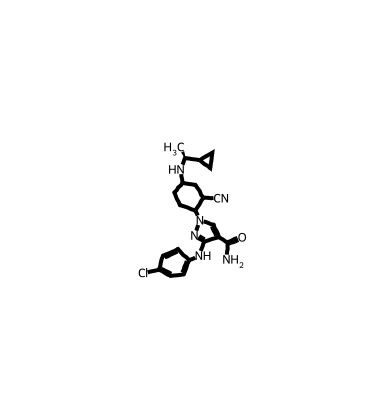 C[C@H](NC1CCC(n2cc(C(N)=O)c(Nc3ccc(Cl)cc3)n2)C(C#N)C1)C1CC1